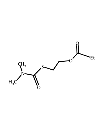 CCC(=O)OCCSC(=O)N(C)C